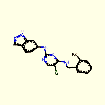 FC(F)(F)c1ccccc1CNc1nc(Nc2ccc3cn[nH]c3c2)ncc1Cl